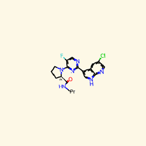 CC(C)NC(=O)[C@H]1CCCN1c1nc(-c2c[nH]c3ncc(Cl)cc23)ncc1F